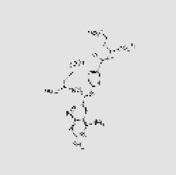 NC(CCS(=O)(=O)O)C(=O)O.Nc1nc(N)c2nc(CNc3ccc(C(=O)NC(CCC(=O)O)C(=O)O)cc3)cnc2n1